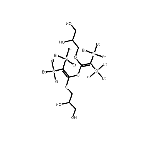 CC[Si](CC)(CC)C(=C(OCC(O)CO)OC(OCC(O)CO)=C([Si](CC)(CC)CC)[Si](CC)(CC)CC)[Si](CC)(CC)CC